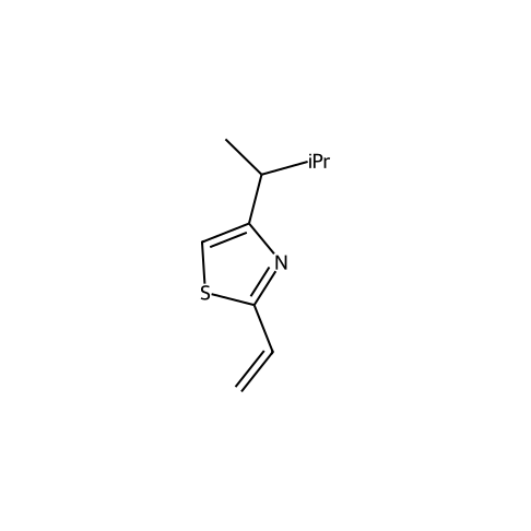 C=Cc1nc(C(C)C(C)C)cs1